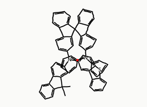 CC1(C)c2ccccc2-c2ccc(N(c3ccc4c(c3)C3(c5ccccc5-c5ccc(N(c6ccccc6)c6ccccc6)cc53)c3ccccc3-4)c3ccc4sc5ccccc5c4c3)cc21